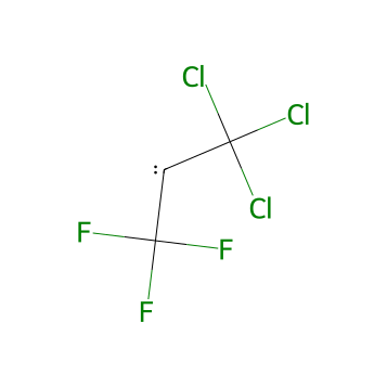 FC(F)(F)[C]C(Cl)(Cl)Cl